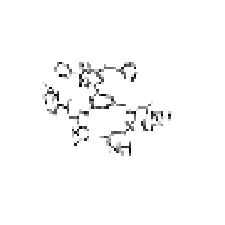 C=C(/C=C(\C=C(/C)c1cc(C/C=C(\CC(C)C2C=CC=C(C)N2)CC(C)(C)CCC(C)=N)cc(-c2cc(Cc3ccccc3)nc(C3=CCCC=C3)n2)c1)c1cccc(C)n1)c1cccc(C)n1